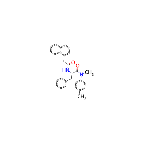 Cc1ccc(N(C)C(=O)C(Cc2ccccc2)NC(=O)Cc2cccc3ccccc23)cc1